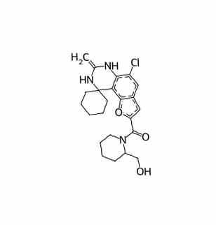 C=C1Nc2c(Cl)cc3cc(C(=O)N4CCCCC4CO)oc3c2C2(CCCCC2)N1